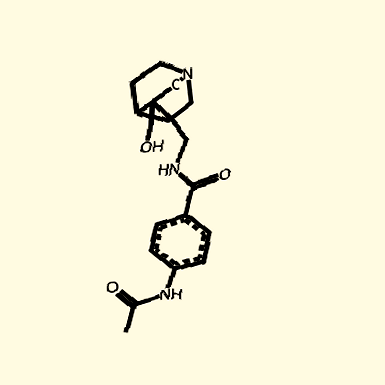 CC(=O)Nc1ccc(C(=O)NCC2(O)CN3CCC2CC3)cc1